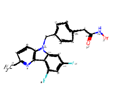 Cc1ccc2c(n1)c1c(F)cc(F)cc1n2Cc1ccc(CC(=O)NO)cc1